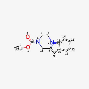 CC(C)(C)OC(=O)N1CCn2c(cc3ccccc32)C1